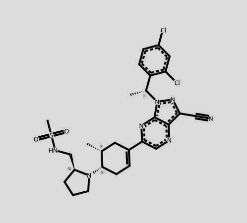 C[C@@H]1CC(c2cnc3c(C#N)nn([C@H](C)c4ccc(Cl)cc4Cl)c3n2)=CC[C@@H]1N1CCC[C@H]1CNS(C)(=O)=O